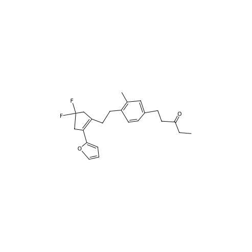 CCC(=O)CCc1ccc(CCC2=C(c3ccco3)CC(F)(F)C2)c(C)c1